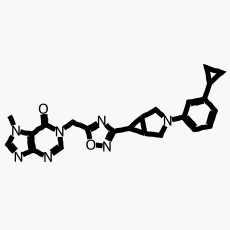 Cn1cnc2ncn(Cc3nc(C4C5CN(c6cccc(C7CC7)c6)CC54)no3)c(=O)c21